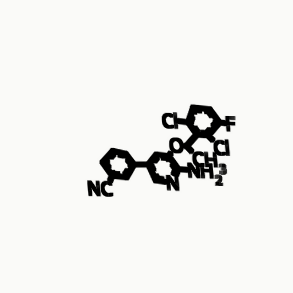 CC(Oc1cc(-c2cccc(C#N)c2)cnc1N)c1c(Cl)ccc(F)c1Cl